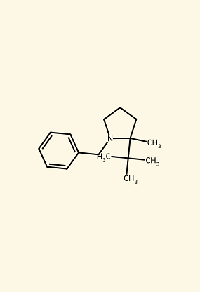 CC(C)(C)C1(C)CCCN1Cc1ccccc1